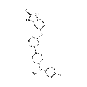 C[C@@H](c1ccc(F)cc1)N1CCN(c2cc(Oc3ccc4[nH]c(=O)[nH]c4c3)ncn2)CC1